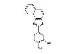 Oc1ccc(-c2nc3c(ccc4ccccc43)s2)cc1O